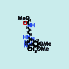 COCC(=O)NCCCCNc1nc2cc(OC)c(OC)cc2n2c(C)nnc12